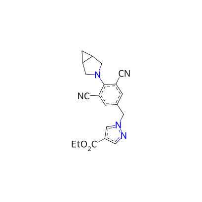 CCOC(=O)c1cnn(Cc2cc(C#N)c(N3CC4CC4C3)c(C#N)c2)c1